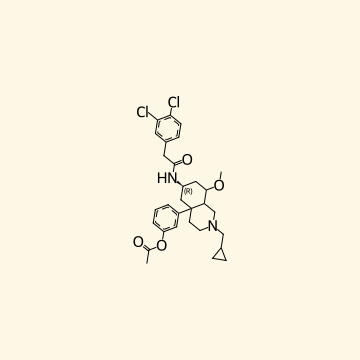 COC1C[C@H](NC(=O)Cc2ccc(Cl)c(Cl)c2)CC2(c3cccc(OC(C)=O)c3)CCN(CC3CC3)CC12